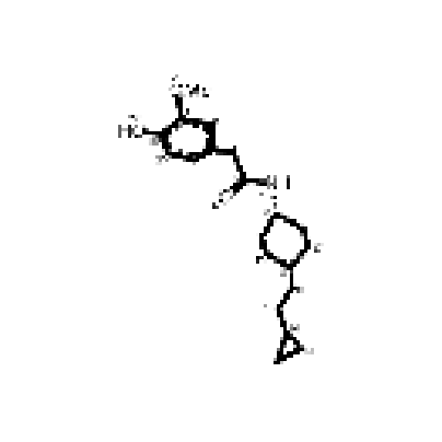 COc1cc(CC(=O)N[C@H]2CC[C@H](CCC3CC3)CC2)ccc1O